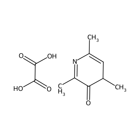 CC1=CC(C)C(=O)C(C)=N1.O=C(O)C(=O)O